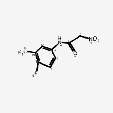 O=C(C[N+](=O)[O-])Nc1ccc(F)c(C(F)(F)F)c1